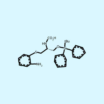 CC(C)(C)[Si](OC[C@H](CSc1ccccc1N)NC(=O)O)(c1ccccc1)c1ccccc1